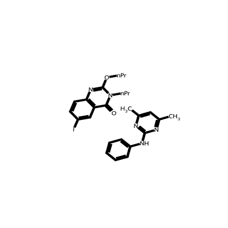 CCCOc1nc2ccc(I)cc2c(=O)n1CCC.Cc1cc(C)nc(Nc2ccccc2)n1